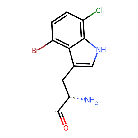 N[C@H]([C]=O)Cc1c[nH]c2c(Cl)ccc(Br)c12